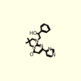 CC1(C)CN(CC(O)c2ccccc2)c2nc(-c3ccncn3)cc(=O)n2C1